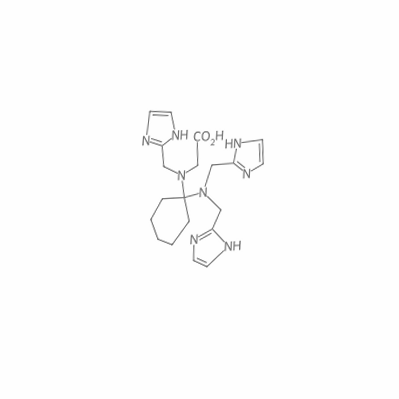 O=C(O)CN(Cc1ncc[nH]1)C1(N(Cc2ncc[nH]2)Cc2ncc[nH]2)CCCCC1